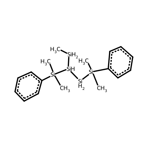 C[SiH2][SiH]([SiH2][Si](C)(C)c1ccccc1)[Si](C)(C)c1ccccc1